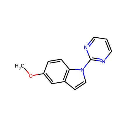 COc1ccc2c(ccn2-c2ncccn2)c1